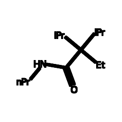 CCCNC(=O)C(CC)(C(C)C)C(C)C